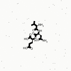 CC(C)[C@H](N)C(=O)N[C@@H](CC(N)=O)C(=O)N[C@@H](CCC(=O)O)C(=O)O